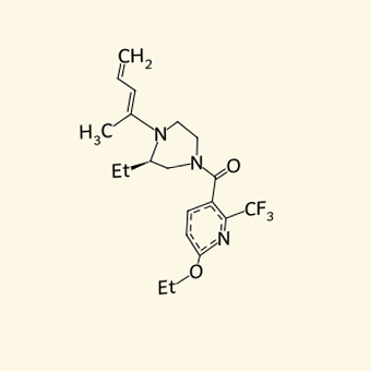 C=C/C=C(\C)N1CCN(C(=O)c2ccc(OCC)nc2C(F)(F)F)C[C@H]1CC